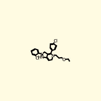 CCOCCCN1CC=C2NN(c3ccccc3Cl)CC2=C1c1ccc(Cl)cc1